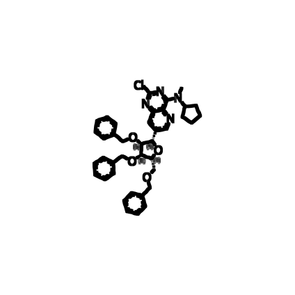 CN(c1nc(Cl)nc2cc([C@@H]3O[C@H](COCc4ccccc4)[C@@H](OCc4ccccc4)[C@H]3OCc3ccccc3)cnc12)C1CCCC1